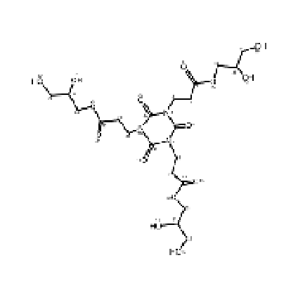 O=C(CCn1c(=O)n(CCC(=O)OCC(O)CO)c(=O)n(CCC(=O)OCC(O)CO)c1=O)OCC(O)CO